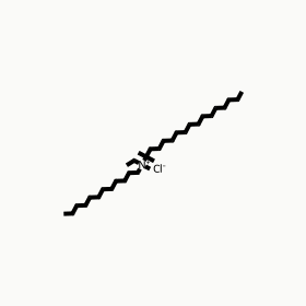 CCCCCCCCCCCCCCCC(C)(C)[N+](C)(CC)CCCCCCCCCCCC.[Cl-]